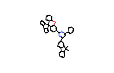 CC1(C)c2ccccc2-c2ccc(-c3cc(-c4ccccc4)nc(-c4ccc5c(c4)Oc4ccccc4C54c5ccccc5-c5ccccc54)n3)cc21